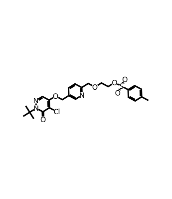 Cc1ccc(S(=O)(=O)OCCOCc2ccc(COc3cnn(C(C)(C)C)c(=O)c3Cl)cn2)cc1